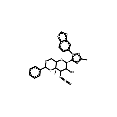 Cc1nc([C@@H]2OC3COC(c4ccccc4)O[C@@H]3C(N=[N+]=[N-])C2O)n(-c2ccc3ncsc3c2)n1